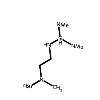 CCCCN(C)CCN[SiH](NC)NC